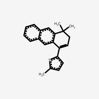 Cc1ccc(C2=CCC(C)(C)c3cc4ccccc4cc32)s1